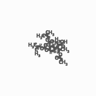 CCC(=O)OCC(C)C(c1ccc(OC(=O)OCC(C)C)c(OC(=O)OCC(C)C)c1)[C@H](N)C(=O)O